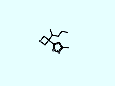 CCCC(C)C1(c2cc(C)no2)COC1